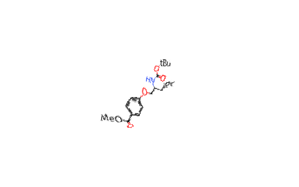 COC(=O)c1ccc(OC[C@H](CC(C)C)NC(=O)OC(C)(C)C)cc1